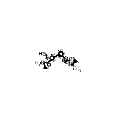 C[C@@H](NC(=O)c1cnc(-c2cccc(-c3cc(C(=O)N[C@H](C)C4CC4)n(CCO)n3)c2)o1)C1CC1